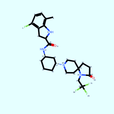 Cc1ccc(F)c2c1NC(C(=O)N[C@@H]1CCC[C@@H](N3CCC4(CCC(=O)N4CC(F)(F)F)CC3)C1)C2